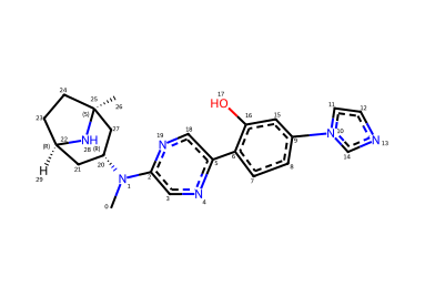 CN(c1cnc(-c2ccc(-n3ccnc3)cc2O)cn1)[C@@H]1C[C@H]2CC[C@@](C)(C1)N2